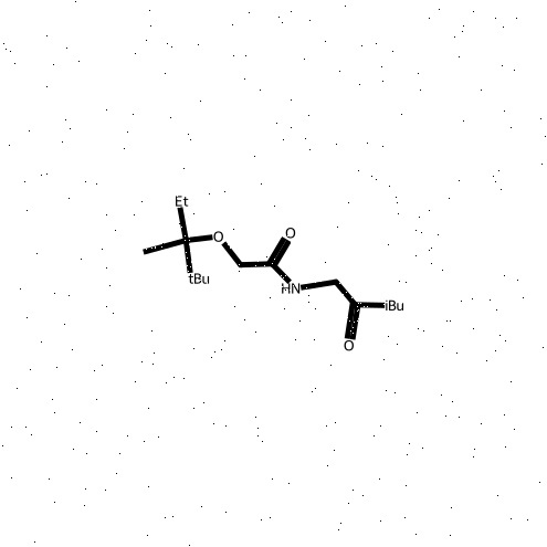 CCC(C)C(=O)CNC(=O)COC(C)(CC)C(C)(C)C